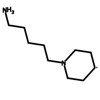 NCCCCCN1CC[CH]CC1